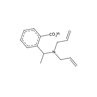 C=CCN(CC=C)C(C)c1ccccc1C(=O)O